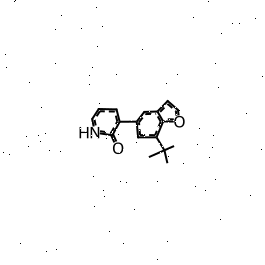 CC(C)(C)c1cc(-c2ccc[nH]c2=O)cc2ccoc12